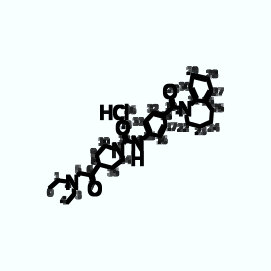 CCN(CC)CC(=O)C1CCN(C(=O)Nc2ccc(C(=O)N3CCCCc4ccccc43)cc2)CC1.Cl